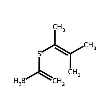 BC(=C)SC(C)=C(C)C